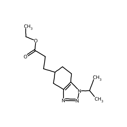 CCOC(=O)CCC1CCc2c(nnn2C(C)C)C1